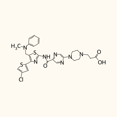 CN(Cc1sc(NC(=O)c2cnc(N3CCN(CCC(=O)O)CC3)cn2)nc1-c1cc(Cl)cs1)c1ccccc1